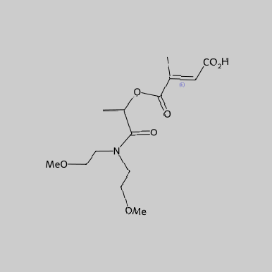 COCCN(CCOC)C(=O)C(C)OC(=O)/C(C)=C/C(=O)O